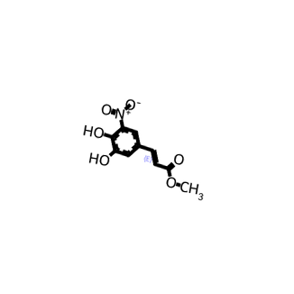 COC(=O)/C=C/c1cc(O)c(O)c([N+](=O)[O-])c1